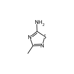 Cc1nsc(N)n1